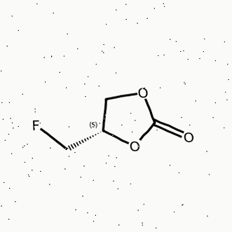 O=C1OC[C@@H](CF)O1